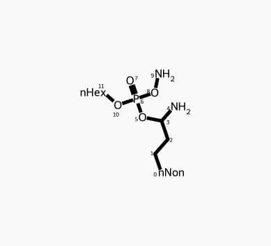 CCCCCCCCCCCC(N)OP(=O)(ON)OCCCCCC